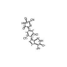 CC(C)c1c(=O)[nH]nc2c1ccn2-c1c(Cl)cc(-n2nc(C#N)c(=O)[nH]c2=O)cc1Cl